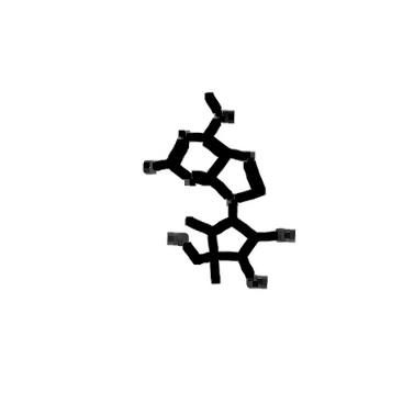 CNc1nc(Cl)nc2c1ncn2C1C(O)C(O)C(C)(CO)C1C